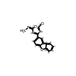 C\N=C(Cl)/N=C(\N=C\Cl)c1ccc2oc3ccccc3c2c1